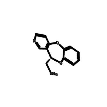 CNC[C@H]1Oc2ccccc2Oc2ccncc21